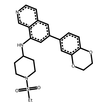 CCS(=O)(=O)N1CCC(Nc2cc(-c3ccc4c(c3)OCCO4)cc3ccncc23)CC1